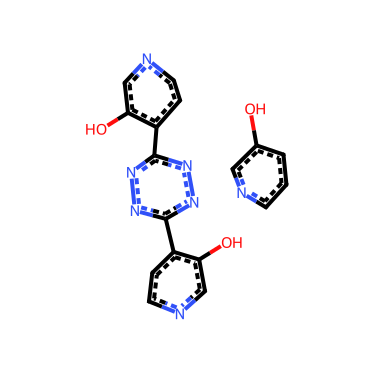 Oc1cccnc1.Oc1cnccc1-c1nnc(-c2ccncc2O)nn1